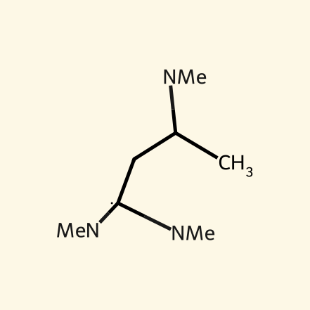 CN[C](CC(C)NC)NC